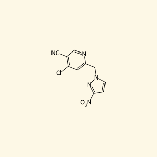 N#Cc1cnc(Cn2ccc([N+](=O)[O-])n2)cc1Cl